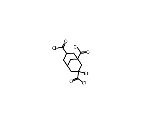 CCC1(C(=O)Cl)CC2CC(C(=O)Cl)CC(C(=O)Cl)(C2)C1